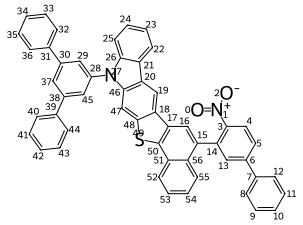 O=[N+]([O-])c1ccc(-c2ccccc2)cc1-c1cc2c3cc4c5ccccc5n(-c5cc(-c6ccccc6)cc(-c6ccccc6)c5)c4cc3sc2c2ccccc12